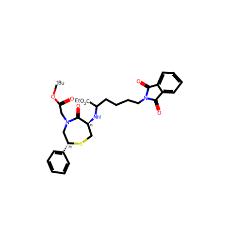 CCOC(=O)C(CCCCN1C(=O)c2ccccc2C1=O)N[C@H]1CS[C@H](c2ccccc2)CN(CC(=O)OC(C)(C)C)C1=O